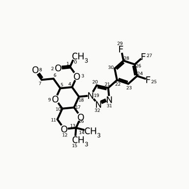 CC(=O)OC1C(CC=O)OC2COC(C)(C)OC2C1n1cc(-c2cc(F)c(F)c(F)c2)nn1